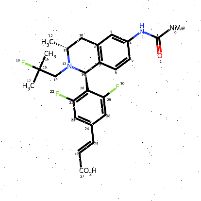 CNC(=O)Nc1ccc2c(c1)C[C@@H](C)N(CC(C)(C)F)[C@@H]2c1c(F)cc(/C=C/C(=O)O)cc1F